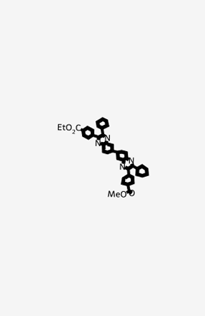 CCOC(=O)c1ccc(-c2nc3ccc(-c4ccc5nc(-c6ccccc6)c(-c6ccc(C(=O)OC)cc6)nc5c4)cc3nc2-c2ccccc2)cc1